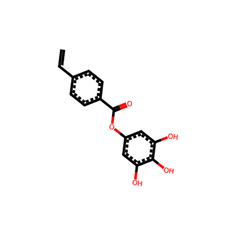 C=Cc1ccc(C(=O)Oc2cc(O)c(O)c(O)c2)cc1